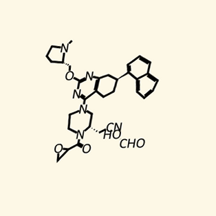 CN1CCC[C@H]1COc1nc2c(c(N3CCN(C(=O)C4CO4)[C@@H](CC#N)C3)n1)CC[C@H](c1cccc3ccccc13)C2.O=CO